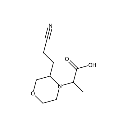 CC(C(=O)O)N1CCOCC1CCC#N